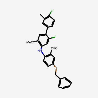 COc1cc(-c2ccc(Cl)c(C)c2)c(F)cc1Nc1ccc(SCc2ccccc2)cc1C=O